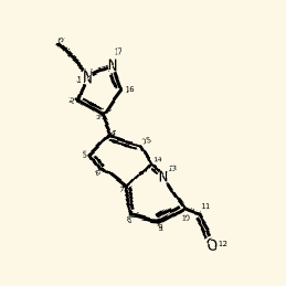 Cn1cc(-c2ccc3ccc(C=O)nc3c2)cn1